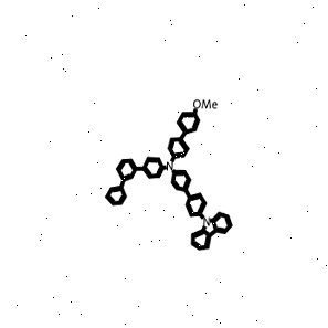 COc1ccc(-c2ccc(N(c3ccc(-c4ccc(-n5c6ccccc6c6ccccc65)cc4)cc3)c3ccc(-c4cccc(-c5ccccc5)c4)cc3)cc2)cc1